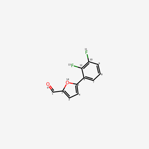 O=[C]c1ccc(-c2cccc(F)c2F)o1